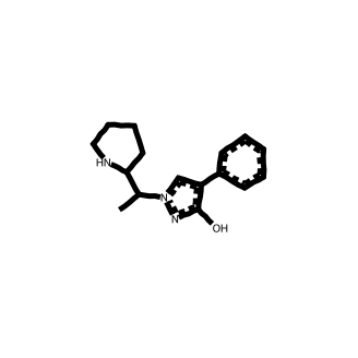 CC(C1CCCCN1)n1cc(-c2ccccc2)c(O)n1